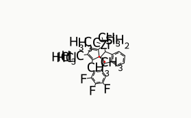 CC1=C(C)C(C)[C]([Zr]([CH3])([CH3])(=[SiH2])[CH]2C=C(c3cc(F)c(F)c(F)c3)c3ccccc32)=C1C.Cl.Cl